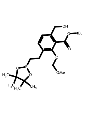 COCOc1c(CCB2OC(C)(C)C(C)(C)O2)ccc(CO)c1C(=O)OC(C)(C)C